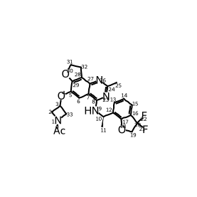 CC(=O)N1CC(Oc2cc3c(N[C@H](C)c4cccc5c4OCC5(F)F)nc(C)nc3c3c2OCC3)C1